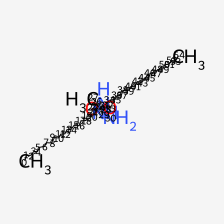 CCCCCCCCCCCCCCCCCCCCCC(=O)NC(CCC)(CCN)NC(=O)CCCCCCCCCCCCCCCCCCCCC